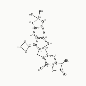 CC[C]1C(=O)Cc2c1cc1n(c2=O)Cc2c-1nc1cc3c(cc1c2C1CCC1)OC(F)(F)O3